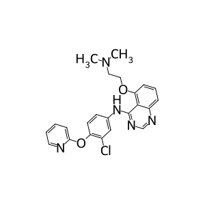 CN(C)CCOc1cccc2ncnc(Nc3ccc(Oc4ccccn4)c(Cl)c3)c12